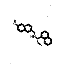 CC[C@H](NCc1ccc2cc(OC)ccc2c1)c1cccc2ccccc12